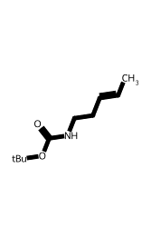 C/C=C/CCNC(=O)OC(C)(C)C